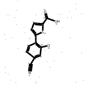 N#Cc1ccc(-c2ccc(C(=O)O)s2)c(Cl)c1